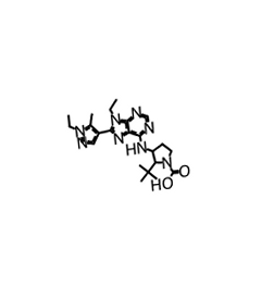 CCn1ncc(-c2nc3c(NC4CCN(C(=O)O)C4C(C)(C)C)ncnc3n2CC)c1C